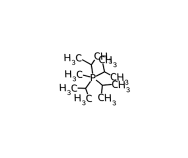 CC(C)P(C)(C(C)C)(C(C)C)C(C)C